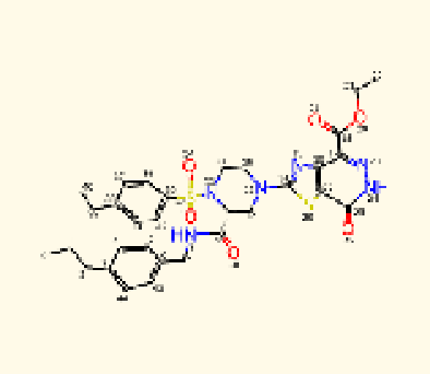 CCCc1ccc(CNC(=O)[C@H]2CN(c3nc4c(C(=O)OCC)n[nH]c(=O)c4s3)CCN2S(=O)(=O)c2ccc(CC)cc2)cc1